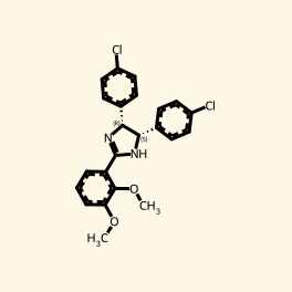 COc1cccc(C2=N[C@H](c3ccc(Cl)cc3)[C@H](c3ccc(Cl)cc3)N2)c1OC